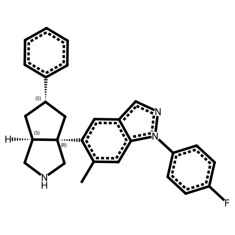 Cc1cc2c(cnn2-c2ccc(F)cc2)cc1[C@]12CNC[C@H]1C[C@H](c1ccccc1)C2